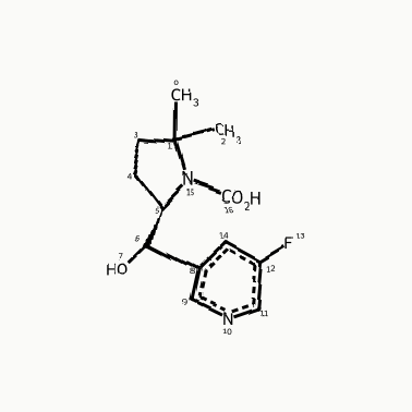 CC1(C)CC[C@H](C(O)c2cncc(F)c2)N1C(=O)O